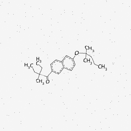 CCCC(C)(C)Oc1ccc2cc(C(=O)C(C)(CC)CC)ccc2c1